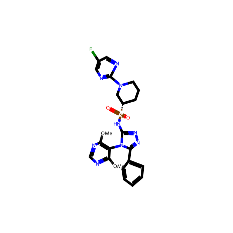 COc1ncnc(OC)c1-n1c(NS(=O)(=O)[C@H]2CCCN(c3ncc(F)cn3)C2)nnc1-c1ccccc1